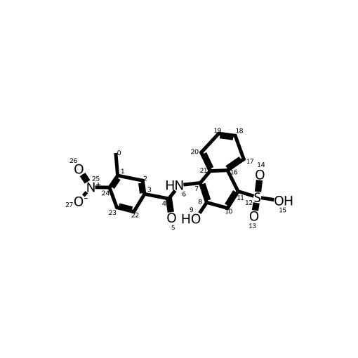 Cc1cc(C(=O)Nc2c(O)cc(S(=O)(=O)O)c3ccccc23)ccc1[N+](=O)[O-]